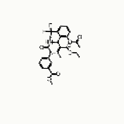 CCOC(=O)C1=C(C)N(c2cccc(C(=O)OC)c2)C(=O)NC1c1c(OC(C)=O)cccc1C(F)(F)F